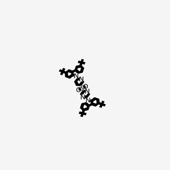 CC(C)(C)c1ccc2c(c1)c1cc(C(C)(C)C)ccc1n2-c1ccc(S(=O)(=O)c2cnc(-n3c4ccc(C(C)(C)C)cc4c4cc(C(C)(C)C)ccc43)cn2)cn1